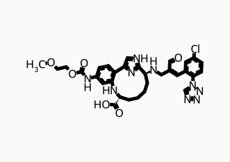 COCCOC(=O)Nc1ccc2c(c1)N[C@@H](C(=O)O)CCCC[C@H](NC/C(C=O)=C/c1cc(Cl)ccc1-n1cnnn1)c1nc-2c[nH]1